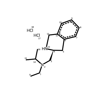 CCN(C[C@@H]1Cc2ccccc2CN1)C(C)C.Cl.Cl